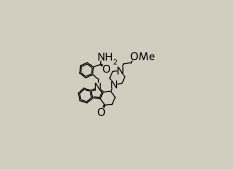 COCCN1CCN(C2CCC(=O)c3c2n(Cc2ccccc2C(N)=O)c2ccccc32)CC1